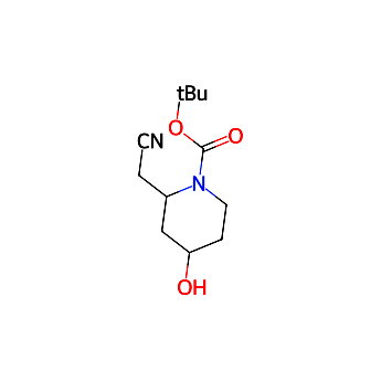 CC(C)(C)OC(=O)N1CCC(O)CC1CC#N